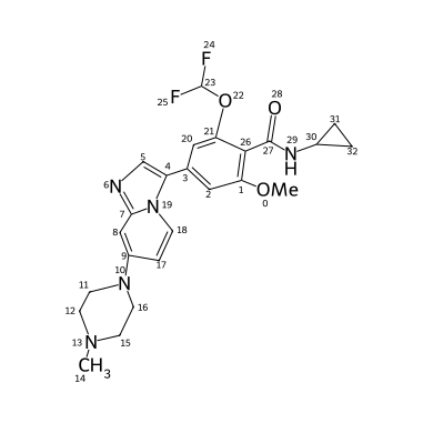 COc1cc(-c2cnc3cc(N4CCN(C)CC4)ccn23)cc(OC(F)F)c1C(=O)NC1CC1